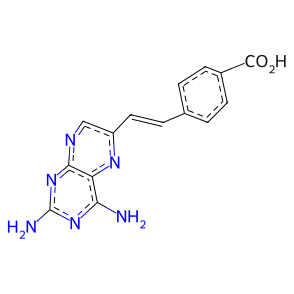 Nc1nc(N)c2nc(C=Cc3ccc(C(=O)O)cc3)cnc2n1